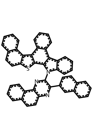 c1ccc2cc(-c3nc4ccc5ccccc5c4nc3-n3c4ccccc4c4c5ccccc5c5c(sc6ccc7ccccc7c65)c43)ccc2c1